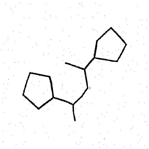 CC([C]C(C)C1CCCC1)C1CCCC1